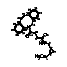 C=C[C@@H]1CC1CNC(=O)CCC(=O)N1Cc2ccccc2/C=C\c2ccccc21